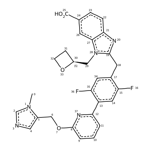 Cn1cncc1COc1cccc(-c2cc(F)c(Cc3nc4ccc(C(=O)O)cc4n3C[C@@H]3CCO3)cc2F)n1